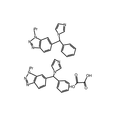 CC(C)n1nnc2ccc(C(c3ccccc3)n3ccnc3)cc21.CC(C)n1nnc2ccc(C(c3ccccc3)n3ccnc3)cc21.O=C(O)C(=O)O